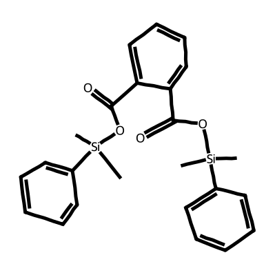 C[Si](C)(OC(=O)c1ccccc1C(=O)O[Si](C)(C)c1ccccc1)c1ccccc1